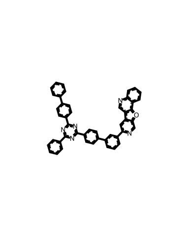 c1ccc(-c2ccc(-c3nc(-c4ccccc4)nc(-c4ccc(-c5cccc(-c6cc7c(cn6)oc6c8ccccc8ncc76)c5)cc4)n3)cc2)cc1